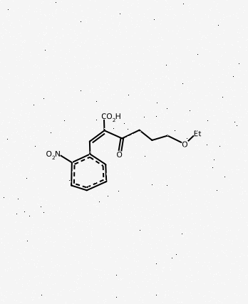 CCOCCCC(=O)C(=Cc1ccccc1[N+](=O)[O-])C(=O)O